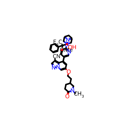 COC(c1ccccc1)(C(O)N1C2CC1CN(c1ccc(-c3cc(OCCC4CCC(=O)N(C)C4)cn4ncc(C#N)c34)cn1)C2)C(F)(F)F